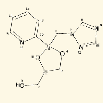 OCC1COC(Cn2cncn2)(c2ccccn2)O1